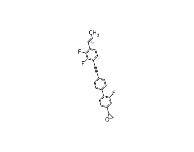 C/C=C/c1ccc(C#Cc2ccc(-c3ccc(C4CO4)cc3F)cc2)c(F)c1F